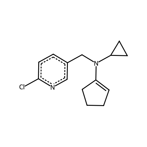 Clc1ccc(CN(C2=CCCC2)C2CC2)cn1